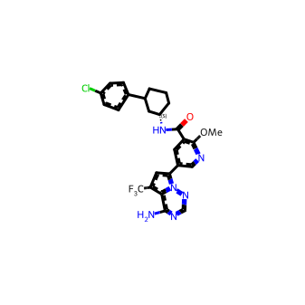 COc1ncc(-c2cc(C(F)(F)F)c3c(N)ncnn23)cc1C(=O)N[C@H]1CCCC(c2ccc(Cl)cc2)C1